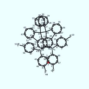 Fc1ccc(N(c2ccc(F)cc2)c2ccc3c(c2)C(c2ccccc2)(C2(c4ccccc4)c4ccccc4-c4ccc(N(c5ccc(F)cc5)c5ccc(F)cc5)cc42)c2ccccc2-3)cc1